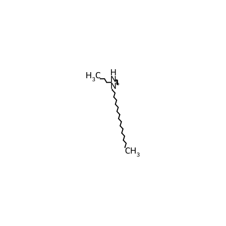 CCCCCCCCCCCCCCCCCC[n+]1cc[nH]c1CCCC